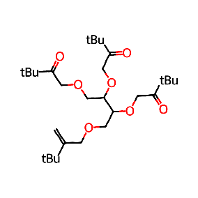 C=C(COCC(OCC(=O)C(C)(C)C)C(COCC(=O)C(C)(C)C)OCC(=O)C(C)(C)C)C(C)(C)C